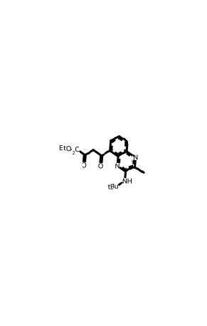 CCOC(=O)C(=O)CC(=O)c1cccc2nc(C)c(NC(C)(C)C)nc12